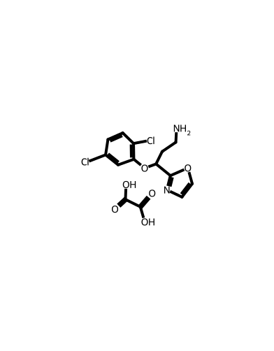 NCCC(Oc1cc(Cl)ccc1Cl)c1ncco1.O=C(O)C(=O)O